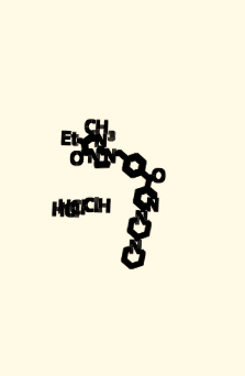 CCc1c(C)nc2n(Cc3ccc(C(=O)c4ccc(N5CCC(N6CCCCC6)CC5)nc4)cc3)ccn2c1=O.Cl.Cl.Cl